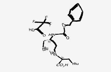 CC(C)(C)C[C@@H](CN[C@@H](CC(C)(C)C)C(=O)O)NC(=O)OCc1ccccc1.O=C(O)C(F)(F)F